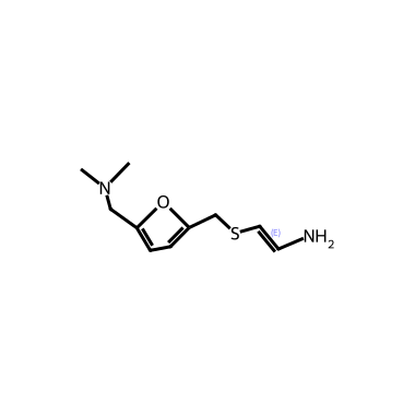 CN(C)Cc1ccc(CS/C=C/N)o1